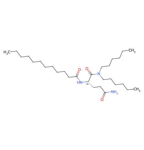 CCCCCCCCCCCC(=O)N[C@@H](CCC(N)=O)C(=O)N(CCCCCC)CCCCCC